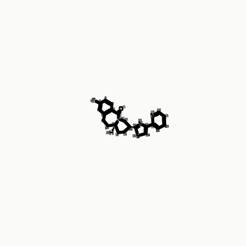 O=C1c2ccc(F)cc2CC[C@@H]2CC[C@@H](c3nc(-c4ccccn4)cs3)CN12